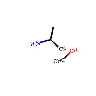 C[C@H](N)C#N.O=CO